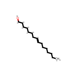 CCCCCCC/C=C/CCCCCCC[O]